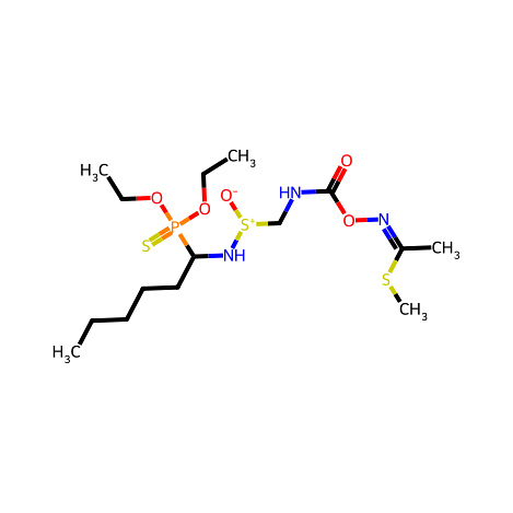 CCCCCC(N[S+]([O-])CNC(=O)ON=C(C)SC)P(=S)(OCC)OCC